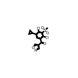 CS(=O)(=O)c1c(Cl)c(C(=O)c2cnoc2)cc(C2CC2)c1Cl